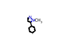 Cn1nccc1-c1cc[c]cc1